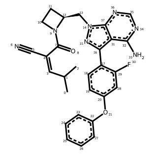 CC(C)/C=C(/C#N)C(=O)N1CC[C@H]1Cn1nc(-c2ccc(Oc3ccccc3)cc2F)c2c(N)ncnc21